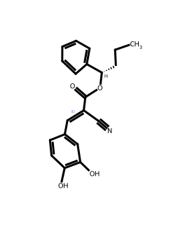 CCC[C@H](OC(=O)/C(C#N)=C/c1ccc(O)c(O)c1)c1ccccc1